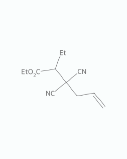 C=CCC(C#N)(C#N)C(CC)C(=O)OCC